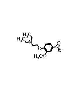 CCN(CC)CCOc1ccc([N+](=O)[O-])cc1OC